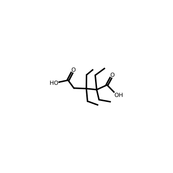 CCC(CC)(CC(=O)O)C(CC)(CC)C(=O)O